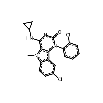 Cn1c2ccc(Cl)cc2c2c1c(NC1CC1)nc(=O)n2-c1ccccc1Cl